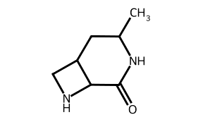 CC1CC2CNC2C(=O)N1